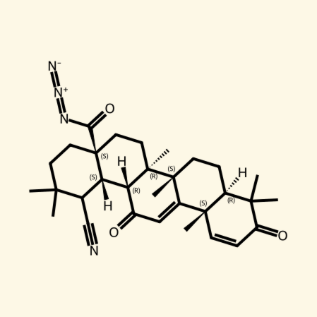 CC1(C)CC[C@]2(C(=O)N=[N+]=[N-])CC[C@]3(C)[C@H](C(=O)C=C4[C@@]5(C)C=CC(=O)C(C)(C)[C@@H]5CC[C@]43C)[C@@H]2C1C#N